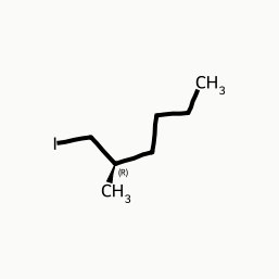 CCCC[C@@H](C)CI